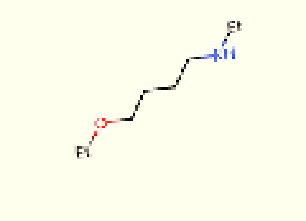 CCNCCCCOCC